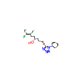 OC(CCSc1nnnn1-c1ccccc1)CCC(F)=C(F)F